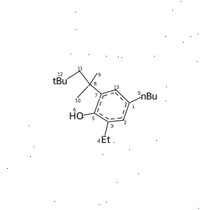 CCCCc1cc(CC)c(O)c(C(C)(C)CC(C)(C)C)c1